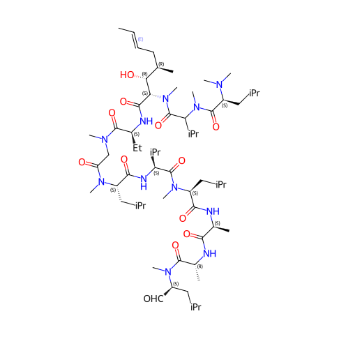 C/C=C/C[C@@H](C)[C@@H](O)[C@@H](C(=O)N[C@@H](CC)C(=O)N(C)CC(=O)N(C)[C@@H](CC(C)C)C(=O)N[C@H](C(=O)N(C)[C@@H](CC(C)C)C(=O)N[C@@H](C)C(=O)N[C@H](C)C(=O)N(C)[C@H](C=O)CC(C)C)C(C)C)N(C)C(=O)C(C(C)C)N(C)C(=O)[C@H](CC(C)C)N(C)C